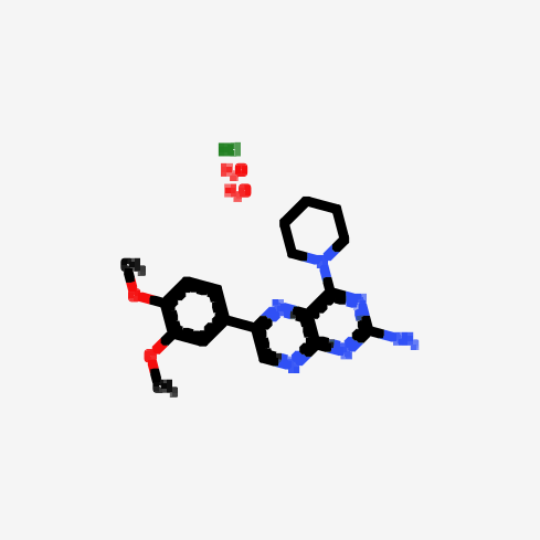 COc1ccc(-c2cnc3nc(N)nc(N4CCCCC4)c3n2)cc1OC.Cl.O.O